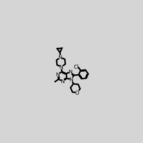 Cc1nc(N2CCN(C3CC3)CC2)c2nc(-c3ccccc3Cl)n(C3CCOCC3)c2n1